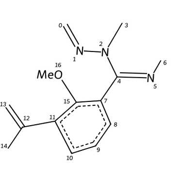 C=NN(C)/C(=N\C)c1cccc(C(=C)C)c1OC